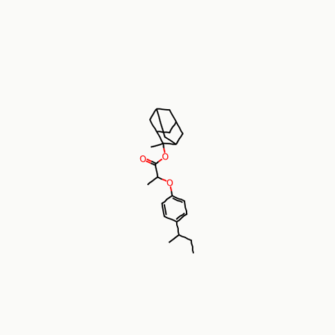 CCC(C)c1ccc(OC(C)C(=O)OC2(C)C3CC4CC(C3)CC2C4)cc1